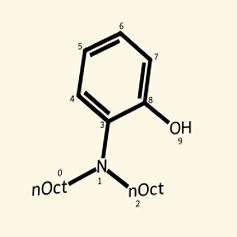 CCCCCCCCN(CCCCCCCC)c1ccccc1O